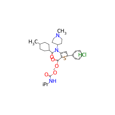 CC1CCC(C(=O)N(c2cc(-c3ccccc3)sc2C(=O)OCOC(=O)NC(C)C)C2CCN(C)CC2)CC1.Cl